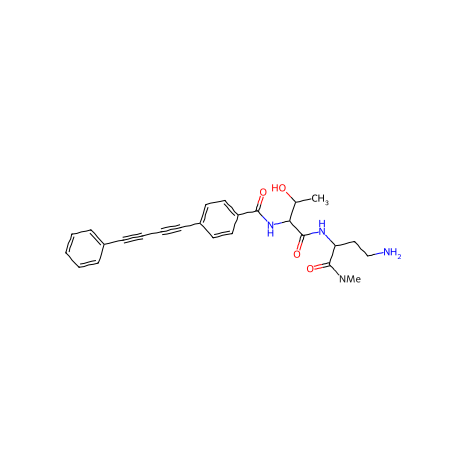 CNC(=O)C(CCN)NC(=O)C(NC(=O)c1ccc(C#CC#Cc2ccccc2)cc1)C(C)O